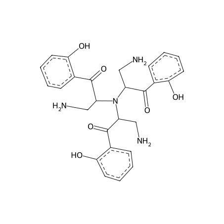 NCC(C(=O)c1ccccc1O)N(C(CN)C(=O)c1ccccc1O)C(CN)C(=O)c1ccccc1O